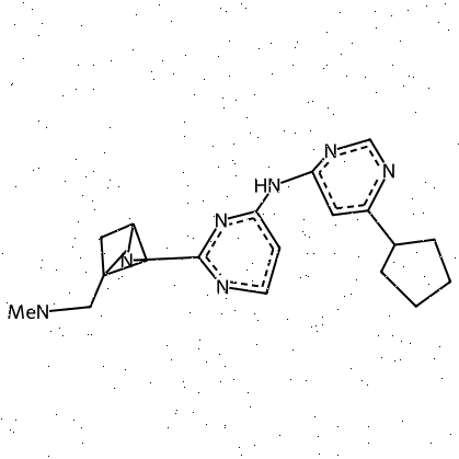 CNCC12CC(C1)N(c1nccc(Nc3cc(C4CCCC4)ncn3)n1)C2